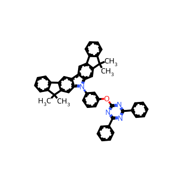 CC1(C)c2ccccc2-c2cc3c4cc5c(cc4n(-c4cccc(Oc6nc(-c7ccccc7)nc(-c7ccccc7)n6)c4)c3cc21)C(C)(C)c1ccccc1-5